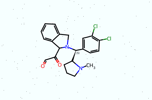 CN1CCCC1[C@H](c1ccc(Cl)c(Cl)c1)N1Cc2ccccc2C1C(=O)C=O